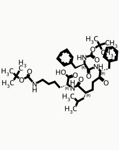 CC(C)C[C@@H](CCC(=O)[C@@H](Cc1ccccc1)NC(=O)[C@@H](Cc1ccccc1)NC(=O)OC(C)(C)C)C(=O)N[C@H](CCCCNC(=O)OC(C)(C)C)C(=O)O